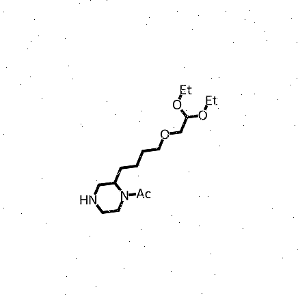 [CH2]C(=O)N1CCNCC1CCCCOCC(OCC)OCC